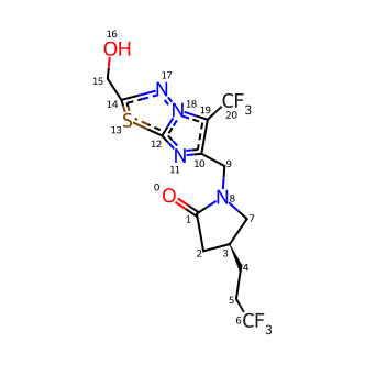 O=C1C[C@H](CCC(F)(F)F)CN1Cc1nc2sc(CO)nn2c1C(F)(F)F